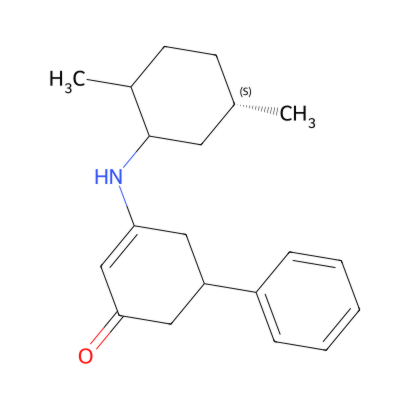 CC1CC[C@H](C)CC1NC1=CC(=O)CC(c2ccccc2)C1